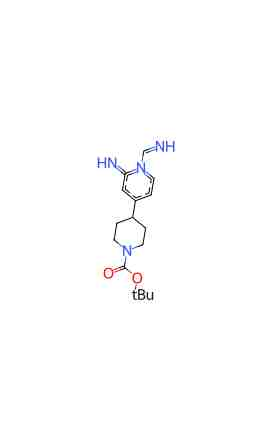 CC(C)(C)OC(=O)N1CCC(c2ccn(C=N)c(=N)c2)CC1